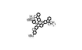 CC(C)(C)c1ccc(N2B3c4cc5c(cc4-n4c6cc7c(cc6c6ccc(c3c64)-c3cc4c(cc32)oc2cc(C(C)(C)C)ccc24)C(C)(C)c2ccccc2-7)-c2ccccc2C5(C)C)cc1